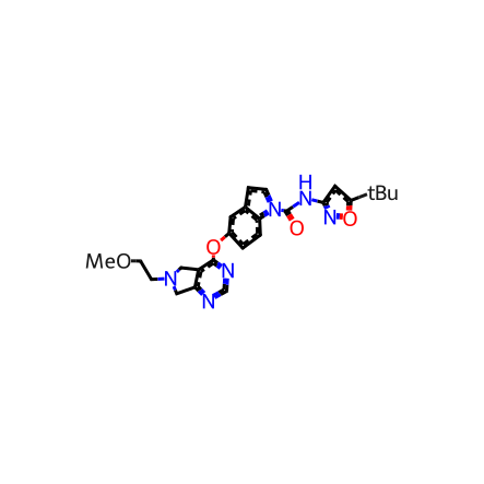 COCCN1Cc2ncnc(Oc3ccc4c(ccn4C(=O)Nc4cc(C(C)(C)C)on4)c3)c2C1